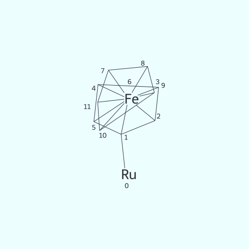 [Ru][C]12[CH]3[CH]4[CH]5[CH]1[Fe]45321678[CH]2[CH]1[CH]6[CH]7[CH]28